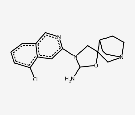 NC1OC2(CN3CCC2CC3)CN1c1cc2c(Cl)cccc2cn1